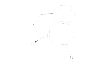 [2H][C@@H](/C=C\c1ccccc1)NCC(N)=O